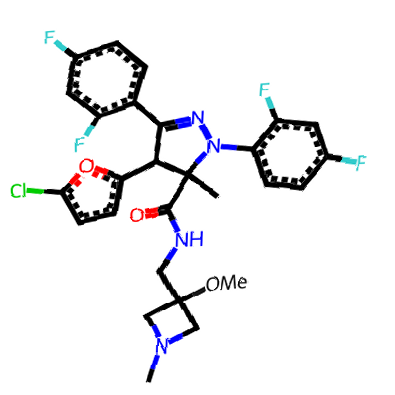 COC1(CNC(=O)C2(C)C(c3ccc(Cl)o3)C(c3ccc(F)cc3F)=NN2c2ccc(F)cc2F)CN(C)C1